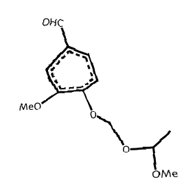 COc1cc(C=O)ccc1OCOC(C)OC